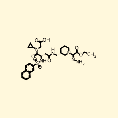 CCOC(=O)C(=NN)N1CCC[C@@H](CNC(=O)C[C@H](NS(=O)(=O)c2ccc3ccccc3c2)C(=O)N(CC(=O)O)C2CC2)C1